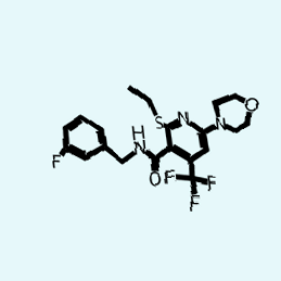 CCSc1nc(N2CCOCC2)cc(C(F)(F)F)c1C(=O)NCc1cccc(F)c1